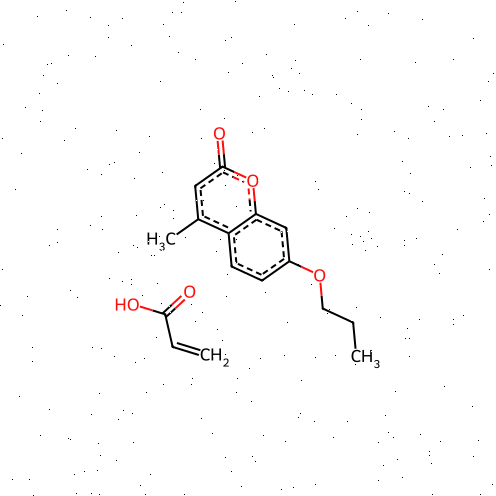 C=CC(=O)O.CCCOc1ccc2c(C)cc(=O)oc2c1